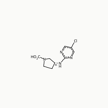 O=C(O)N1CC[C@@H](Nc2ncc(Cl)cn2)C1